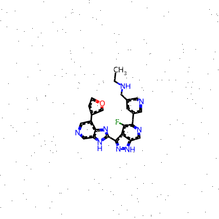 CCNCc1cncc(-c2ncc3[nH]nc(-c4nc5c(-c6ccoc6)cncc5[nH]4)c3c2F)c1